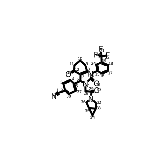 N#Cc1ccc(C2C3=C(CCCC3=O)N(c3cccc(C(F)(F)F)c3)C(=O)N2CC(=O)N2CC3CC3C2)cc1